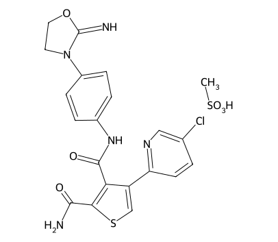 CS(=O)(=O)O.N=C1OCCN1c1ccc(NC(=O)c2c(-c3ccc(Cl)cn3)csc2C(N)=O)cc1